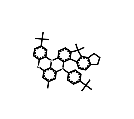 Cc1cc2c3c(c1)N(c1ccc(C(C)(C)C)cc1)c1c(ccc4c1-c1ccc5c(c1C4(C)C)CCC5)B3c1cc(C(C)(C)C)ccc1O2